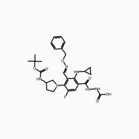 CC(C)(C)OC(=O)NC1CCN(c2c(F)cc(C(=O)NNC(=O)O)c(NC3CC3)c2C=NOCc2ccccc2)C1